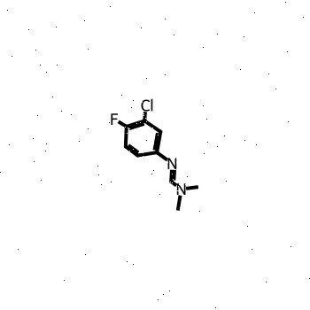 CN(C)/C=N/c1ccc(F)c(Cl)c1